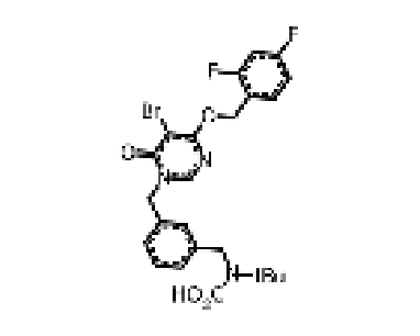 CC(C)(C)N(Cc1cccc(Cn2cnc(OCc3ccc(F)cc3F)c(Br)c2=O)c1)C(=O)O